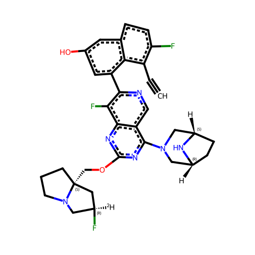 [2H][C@]1(F)CN2CCC[C@@]2(COc2nc(N3C[C@H]4CC[C@@H](C3)N4)c3cnc(-c4cc(O)cc5ccc(F)c(C#C)c45)c(F)c3n2)C1